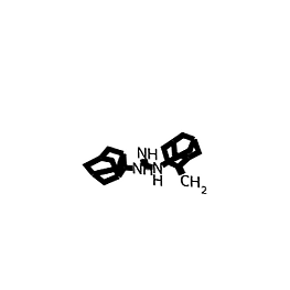 C=C1C2CC3CC(C2)CC1(NC(=N)NC1C2CC4CC(C2)CC1C4)C3